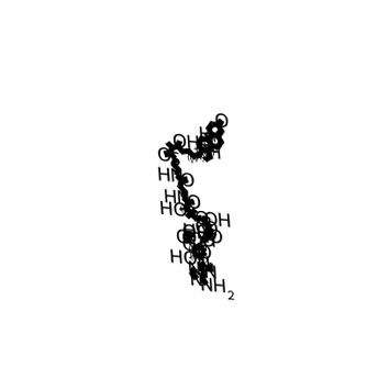 CC(C(=O)SCCNC(=O)CCNC(=O)[C@H](O)C(C)(C)COP(=O)(O)OP(=O)(O)OC[C@H]1O[C@@H](n2cnc3c(N)ncnc32)[C@H](O)[C@@H]1OP(=O)(O)O)C(O)CC[C@@H](C)[C@H]1CC[C@H]2[C@@H]3CCC4=CC(=O)CC[C@]4(C)[C@H]3CC[C@]12C